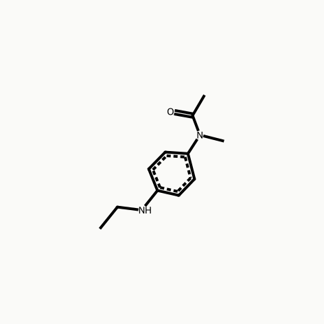 CCNc1ccc(N(C)C(C)=O)cc1